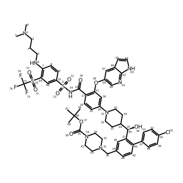 CN(C)CCCNc1ccc(S(=O)(=O)NC(=O)c2ccc(N3CCC([C@@H](O)c4cc(CN5CCN(C(=O)OC(C)(C)C)CC5)ccc4-c4ccc(Cl)cc4)CC3)cc2Oc2cnc3[nH]ccc3c2)cc1S(=O)(=O)C(F)(F)F